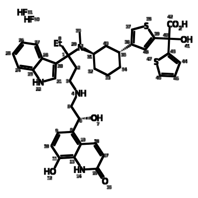 CCC(CCNC[C@H](O)c1ccc(O)c2[nH]c(=O)ccc12)(c1c[nH]c2ccccc12)N(C)[C@@H]1CCC[C@@H](c2csc(C(O)(C(=O)O)c3cccs3)c2)C1.F.F